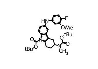 COc1cc(Nc2ccc3c(c2)c2c(n3C(=O)OC(C)(C)C)CCC(N(C)C(=O)OC(C)(C)C)C2)ccc1F